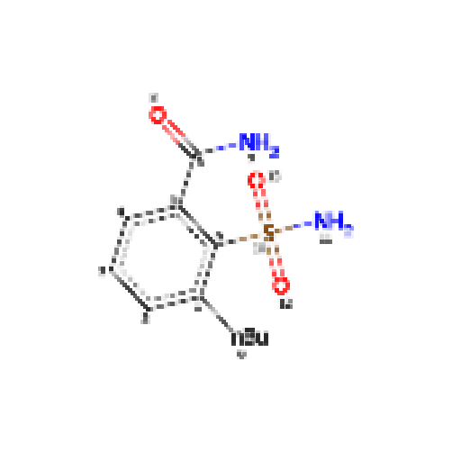 CCCCc1cccc(C(N)=O)c1S(N)(=O)=O